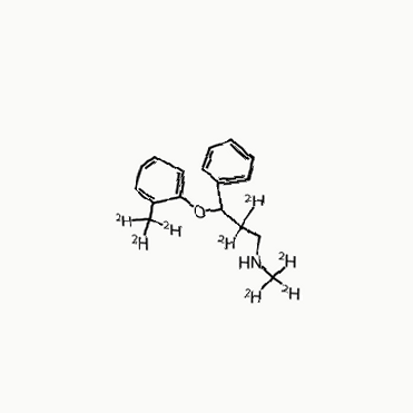 [2H]C([2H])([2H])NCC([2H])([2H])C(Oc1ccccc1C([2H])([2H])[2H])c1ccccc1